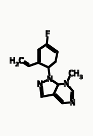 C=CC1=CC(F)=CCC1N1N=CC2=CN=CN(C)C21